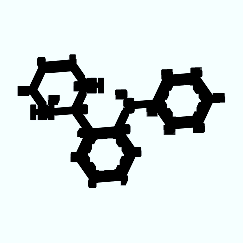 C1=CNC(c2ccccc2Sc2ccccc2)NC1